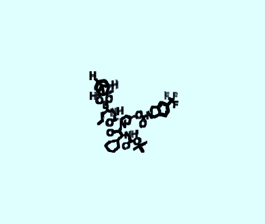 CCC[C@H](NC(=O)[C@@H]1C[C@@H](OC(=O)N2Cc3ccc(C(F)(F)F)cc3C2)CN1C(=O)[C@@H](NC(=O)OC(C)(C)C)C1CCCCC1)B1O[C@@H]2C[C@@H]3C[C@@H](C3(C)C)[C@]2(C)O1